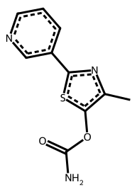 Cc1nc(-c2cccnc2)sc1OC(N)=O